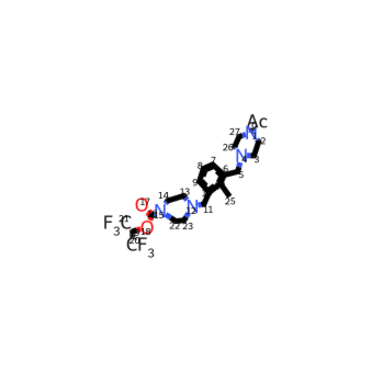 CC(=O)N1CCN(Cc2cccc(CN3CCN(C(=O)OC(C(F)(F)F)C(F)(F)F)CC3)c2C)CC1